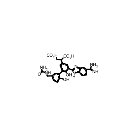 N=C(N)c1ccc2[nH]c(-c3cc(C(CC(=O)O)C(=O)O)cc(-c4cc(CNC(N)=O)ccc4O)c3O)nc2c1